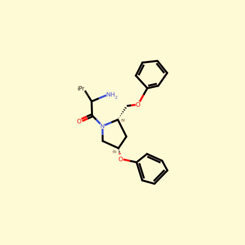 CC(C)C(N)C(=O)N1C[C@@H](Oc2ccccc2)C[C@H]1COc1ccccc1